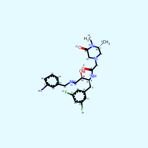 C[C@@H]1CN(CC(=O)N[C@@H](Cc2cc(F)cc(F)c2)[C@H](O)CNCc2cccc(I)c2)CC(=O)N1C